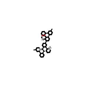 Cc1ccc(-c2ccc(-c3ccc(C4C(C)c5ccccc5-c5cc(C)cc[n+]54)c(-c4cccc[n+]4C)c3)c3ncncc23)c(-c2ccccc2)c1